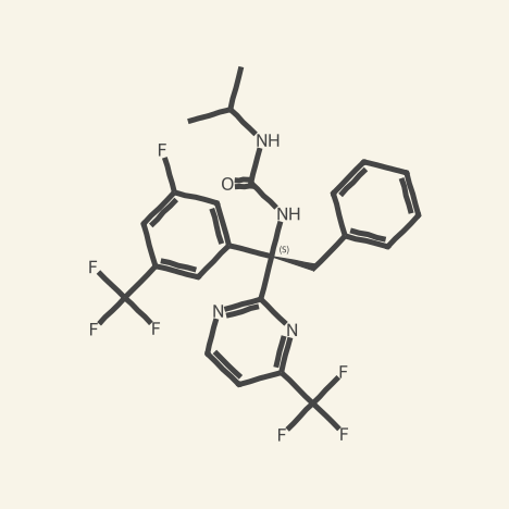 CC(C)NC(=O)N[C@@](Cc1ccccc1)(c1cc(F)cc(C(F)(F)F)c1)c1nccc(C(F)(F)F)n1